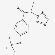 CC(C(=O)c1ccc(OC(F)(F)F)cc1)n1ncnn1